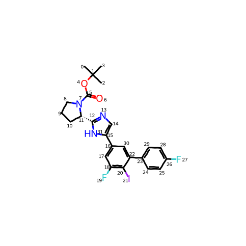 CC(C)(C)OC(=O)N1CCC[C@H]1c1ncc(-c2cc(F)c(I)c(-c3ccc(F)cc3)c2)[nH]1